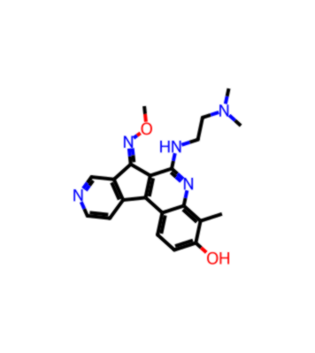 CON=C1c2cnccc2-c2c1c(NCCN(C)C)nc1c(C)c(O)ccc21